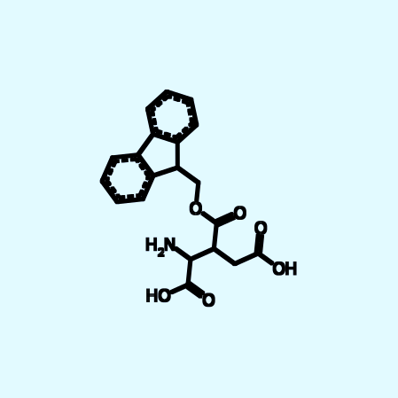 NC(C(=O)O)C(CC(=O)O)C(=O)OCC1c2ccccc2-c2ccccc21